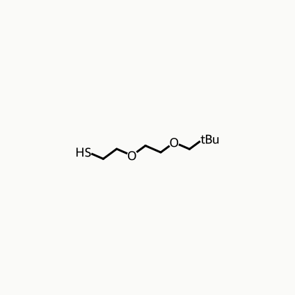 CC(C)(C)COCCOCCS